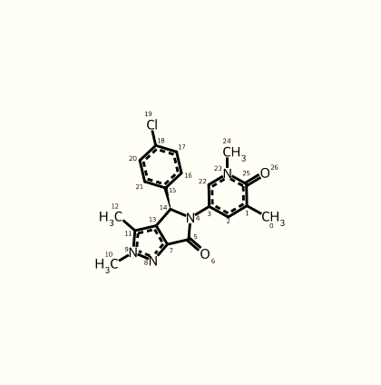 Cc1cc(N2C(=O)c3nn(C)c(C)c3[C@H]2c2ccc(Cl)cc2)cn(C)c1=O